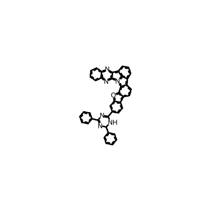 c1ccc(C2=NC(c3ccccc3)NC(c3ccc4c(c3)oc3c4ccc4c5cccc6c7nc8ccccc8nc7n(c56)c43)=N2)cc1